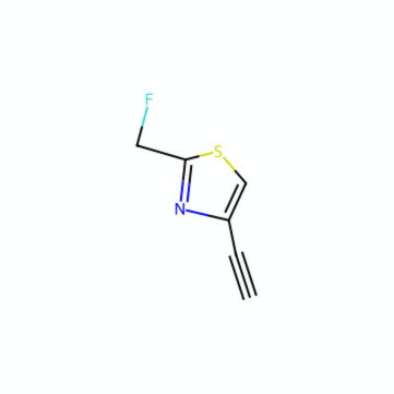 C#Cc1csc(CF)n1